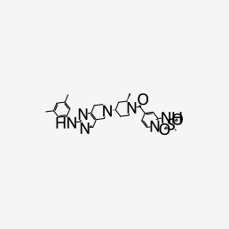 Cc1cc(C)cc(Nc2ncc3c(n2)CCN([C@H]2CCN(C(=O)c4ccnc(NS(C)(=O)=O)c4)[C@H](C)C2)C3)c1